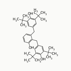 CC(C)(C)c1cc(Cc2cccc(O)c2Cc2cc(C(C)(C)C)c(O)c(C(C)(C)C)c2)cc(C(C)(C)C)c1O